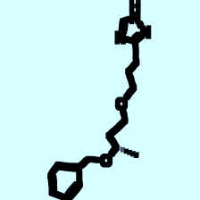 C[C@@H](CCOCCCc1nc[nH]n1)OCc1ccccc1